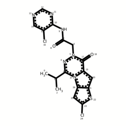 CC(C)c1nn(CC(=O)Nc2ncncc2Cl)c(=O)c2cc3sc(Cl)cc3n12